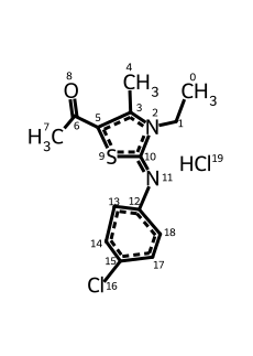 CCn1c(C)c(C(C)=O)s/c1=N\c1ccc(Cl)cc1.Cl